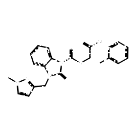 Cn1ccc(Cn2c(=O)n(C(=O)N[C@@H](Cc3ccccc3)C(N)=O)c3ccccc32)n1